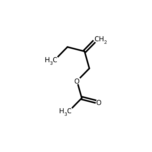 C=C(CC)COC(C)=O